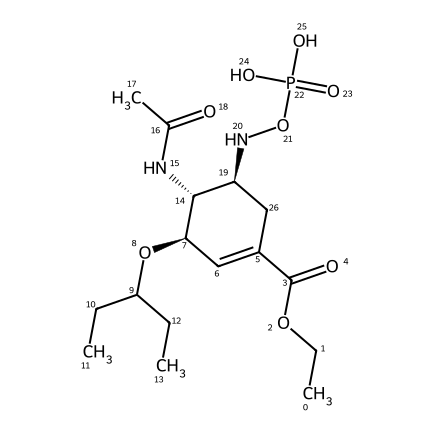 CCOC(=O)C1=C[C@@H](OC(CC)CC)[C@H](NC(C)=O)[C@@H](NOP(=O)(O)O)C1